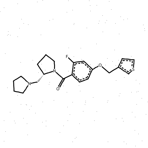 O=C(c1ccc(OCc2ccsc2)cc1F)N1CCC[C@H]1CN1CCCC1